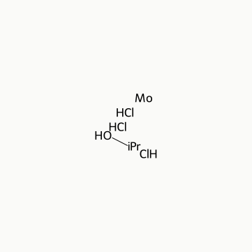 CC(C)O.Cl.Cl.Cl.[Mo]